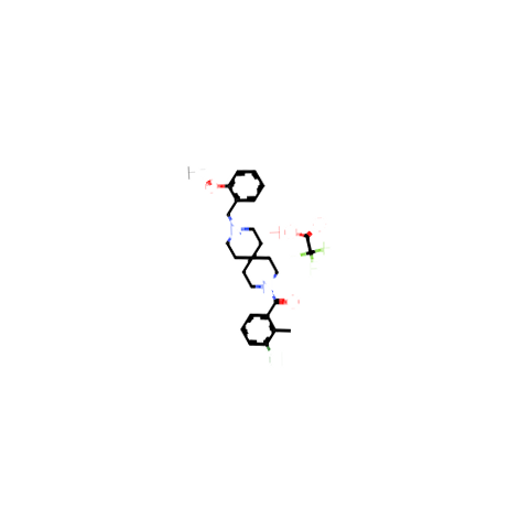 CCOc1ccccc1CN1CCC2(CC1)CCN(C(=O)c1cccc(Cl)c1C)CC2.O=C(O)C(F)(F)F